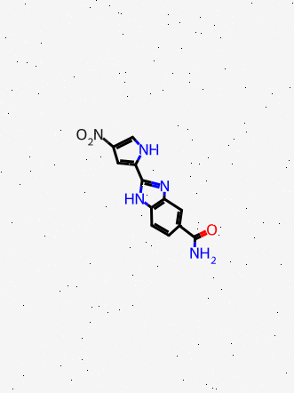 NC(=O)c1ccc2[nH]c(-c3cc([N+](=O)[O-])c[nH]3)nc2c1